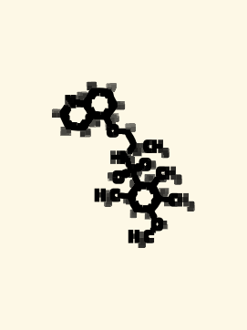 COc1cc(C)c(S(=O)(=O)N[C@@H](C)COc2cccc3ncccc23)c(C)c1C